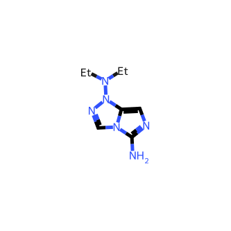 CCN(CC)n1ncn2c(N)ncc12